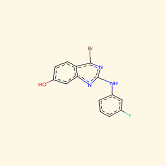 Oc1ccc2c(Br)nc(Nc3cccc(F)c3)nc2c1